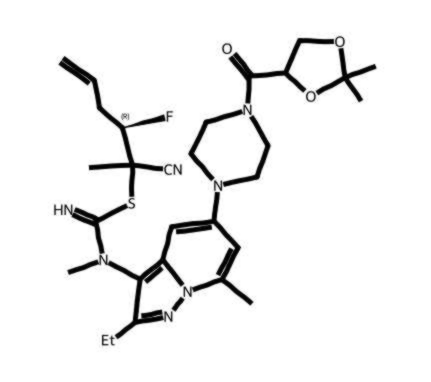 C=CC[C@@H](F)C(C)(C#N)SC(=N)N(C)c1c(CC)nn2c(C)cc(N3CCN(C(=O)C4COC(C)(C)O4)CC3)cc12